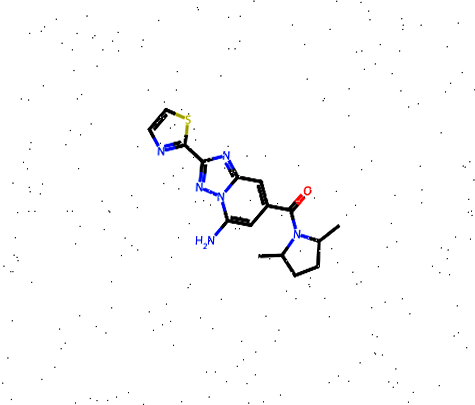 CC1CCC(C)N1C(=O)c1cc(N)n2nc(-c3nccs3)nc2c1